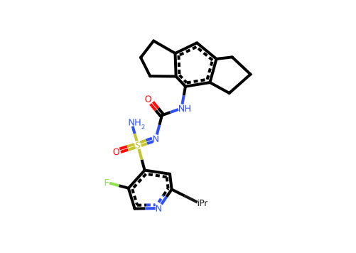 CC(C)c1cc(S(N)(=O)=NC(=O)Nc2c3c(cc4c2CCC4)CCC3)c(F)cn1